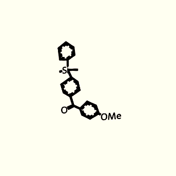 COc1ccc(C(=O)c2ccc([Si](C)(C)c3ccccc3)cc2)cc1